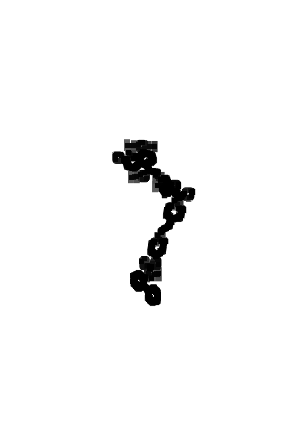 O=C(Nc1ccccc1-c1ccccc1)OC1CCN(CCC2CCN(C(=O)c3ccc(CNCC(O)c4ccc(O)c5[nH]c(=O)ccc45)o3)CC2)CC1